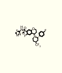 O=S(=O)(Nc1nncs1)c1cc2c(cc1F)[C@@H](N1CCC(C(F)(F)F)C[C@H]1c1ccc(F)cc1)CCO2